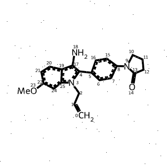 C=CCn1c(-c2ccc(N3CCCC3=O)cc2)c(N)c2ccc(OC)cc21